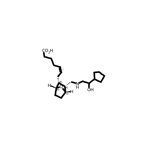 O=C(O)CCC/C=C\C[C@@H]1[C@H](CNCC(O)C2CCCC2)[C@@H]2CC[C@H]1O2